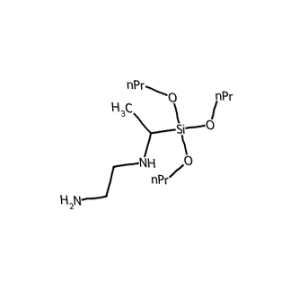 CCCO[Si](OCCC)(OCCC)C(C)NCCN